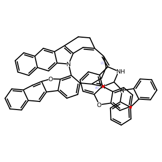 C1=C2CCc3c1n(c1cc4ccccc4cc31)-c1c(ccc3c1oc1cc4ccccc4cc13)/C1=N/C(n3c4ccccc4c4ccccc43)N/C(c3cccc4oc5ccccc5c34)=C\2CC1